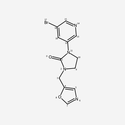 O=C1N(Cc2cnco2)CCN1c1cncc(Br)c1